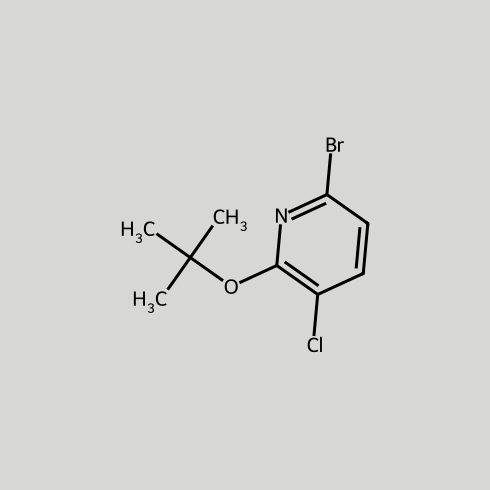 CC(C)(C)Oc1nc(Br)ccc1Cl